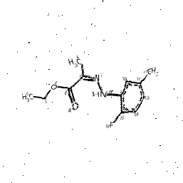 CCOC(=O)C(C)=NNc1cc(C)ccc1F